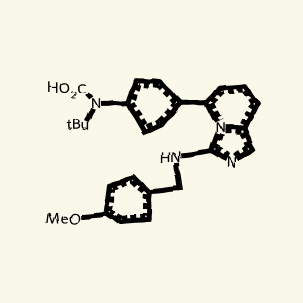 COc1ccc(CNc2ncc3cccc(-c4ccc(N(C(=O)O)C(C)(C)C)cc4)n23)cc1